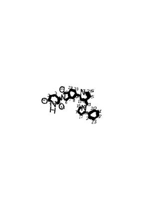 O=C1CCC(N2Cc3cc(-c4cc(CN5CCC[C@@H]5c5ccccc5)ccn4)ccc3C2=O)C(=O)N1